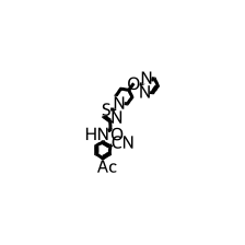 CC(=O)c1ccc(NC(=O)c2csc(N3CCC(Oc4ncccn4)CC3)n2)c(C#N)c1